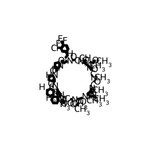 CC[C@H](C)[C@@H]1NC(=O)[C@H](CC(C)C)N(C)C(=O)C[C@@H](C(=O)N2CCCCC2)N(C)C(=O)[C@H](C2CCCCC2)N(C)C(=O)C2(CCCC2)NC(=O)[C@@H]2CCCN2C(=O)[C@H](CCc2ccc(C(F)(F)F)c(Cl)c2)NC(=O)CN(C)C(=O)[C@H](CCOC)N(C)C(=O)CN(C)C(=O)CN(C)C1=O